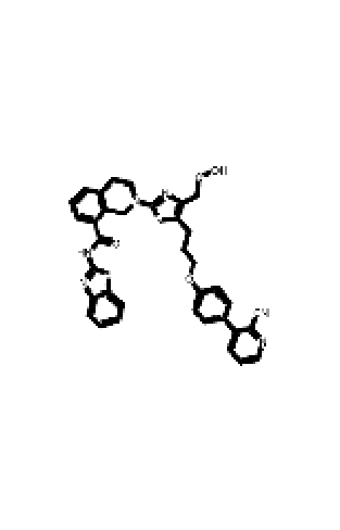 N#Cc1ncccc1-c1ccc(OCCCc2sc(N3CCc4cccc(C(=O)Nc5nc6ccccc6s5)c4C3)nc2COO)cc1